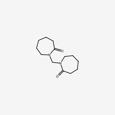 O=C1CCCCCN1CN1CCCCCC1=O